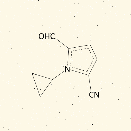 N#Cc1ccc(C=O)n1C1CC1